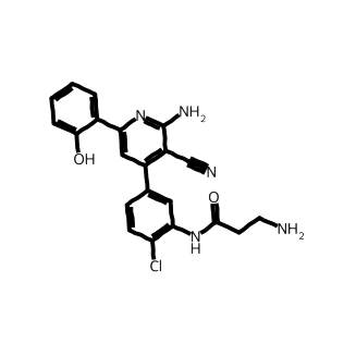 N#Cc1c(-c2ccc(Cl)c(NC(=O)CCN)c2)cc(-c2ccccc2O)nc1N